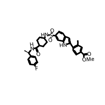 COC(=O)c1ccc(-c2cc3ccc(S(=O)(=O)NC4CCC(C(=O)N[C@H](C)c5ccc(F)cc5)CC4)cc3[nH]2)c(C)c1